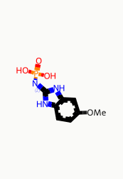 COc1ccc2[nH]/c(=N/P(=O)(O)O)[nH]c2c1